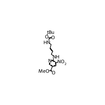 COC(=O)c1cnc(NC/C=C/CNC(=O)OC(C)(C)C)c([N+](=O)[O-])c1